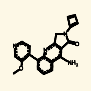 COc1cnccc1-c1cccc2c(N)c3c(nc12)CN(C1=CC=C1)C3=O